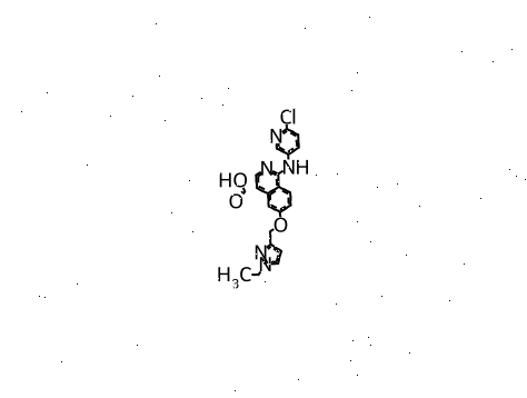 CCn1ccc(COc2ccc3c(Nc4ccc(Cl)nc4)nccc3c2)n1.O=CO